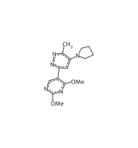 COc1ncc(-c2cc(N3CCCC3)c(C)nn2)c(OC)n1